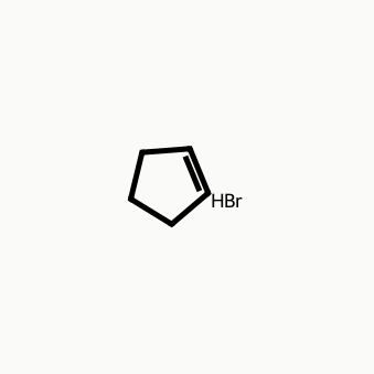 Br.C1=CCCC1